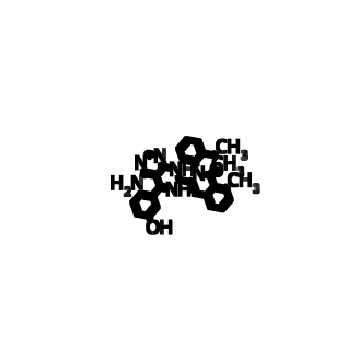 Cc1cccc2cc(CNc3ncnc(N)c3C(=N)c3cccc(O)c3)n(-c3ccccc3C(C)C)c(=O)c12